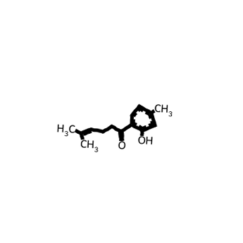 CC(C)=CCCC(=O)c1ccc(C)cc1O